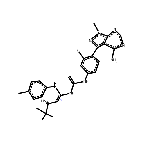 Cc1ccc(N/C(=C\C(=N)C(C)(C)C)NC(=O)Nc2ccc(-c3nn(C)c4ncnc(N)c34)c(F)c2)cc1